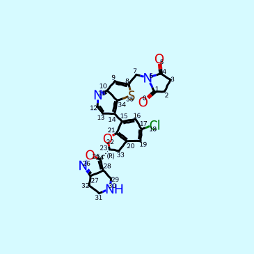 O=C1CCC(=O)N1Cc1cc2nccc(-c3cc(Cl)cc4c3O[C@@H](c3onc5c3CNCC5)C4)c2s1